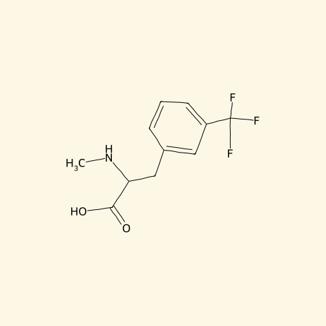 CNC(Cc1cccc(C(F)(F)F)c1)C(=O)O